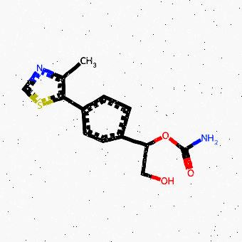 Cc1ncsc1-c1ccc(C(CO)OC(N)=O)cc1